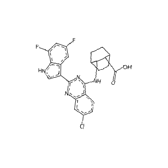 O=C(O)C1C2CCC(CC2)C1Nc1nc(-c2c[nH]c3c(F)cc(F)cc23)nc2cc(Cl)ccc12